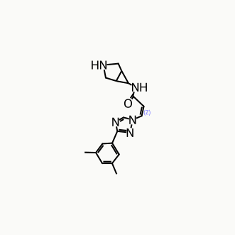 Cc1cc(C)cc(-c2ncn(/C=C\C(=O)NC3C4CNCC43)n2)c1